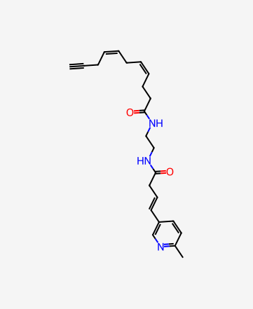 C#CC/C=C\C/C=C\CCC(=O)NCCNC(=O)C/C=C/c1ccc(C)nc1